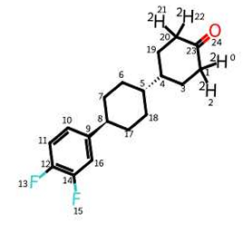 [2H]C1([2H])CC([C@H]2CC[C@H](c3ccc(F)c(F)c3)CC2)CC([2H])([2H])C1=O